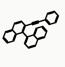 C(#Cc1ccc2ccccc2c1-c1cccc2ccccc12)c1ccccc1